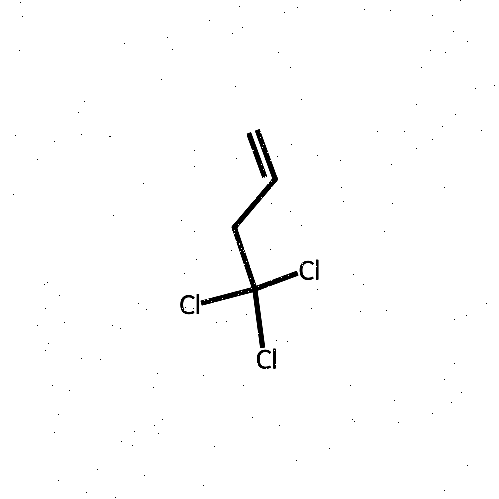 C=CCC(Cl)(Cl)Cl